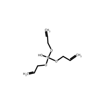 C=CC[O][Ti]([OH])([O]CC=C)[O]CC=C